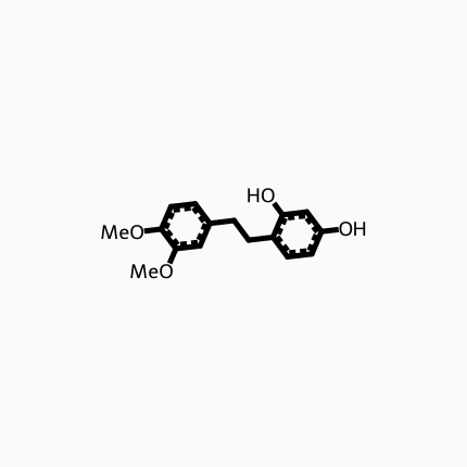 COc1ccc(CCc2ccc(O)cc2O)cc1OC